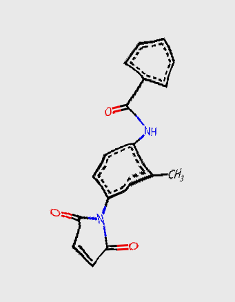 Cc1cc(N2C(=O)C=CC2=O)ccc1NC(=O)c1ccccc1